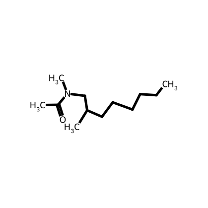 CCCCCCC(C)CN(C)C(C)=O